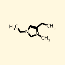 CCC1=CN(CC)CN1C